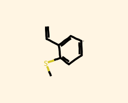 C=Cc1c[c]ccc1SC